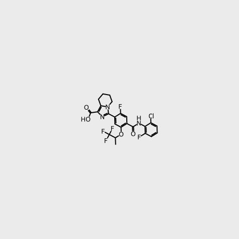 CC(Oc1cc(-c2nc(C(=O)O)c3n2CCCC3)c(F)cc1C(=O)Nc1c(F)cccc1Cl)C(F)(F)F